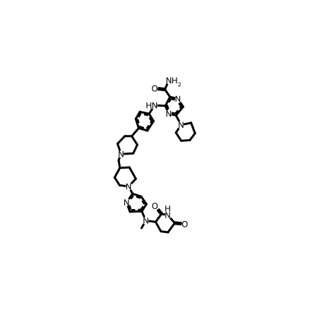 CN(c1ccc(N2CCC(CN3CCC(c4ccc(Nc5nc(N6CCCCC6)cnc5C(N)=O)cc4)CC3)CC2)nc1)C1CCC(=O)NC1=O